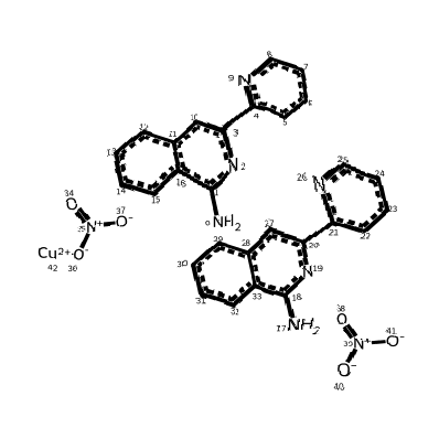 Nc1nc(-c2ccccn2)cc2ccccc12.Nc1nc(-c2ccccn2)cc2ccccc12.O=[N+]([O-])[O-].O=[N+]([O-])[O-].[Cu+2]